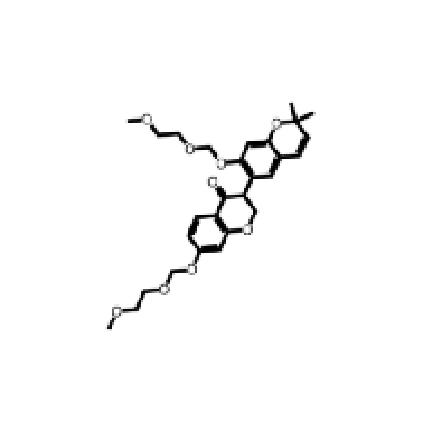 COCCOCOc1ccc2c(c1)OCC(c1cc3c(cc1OCOCCOC)OC(C)(C)C=C3)C2=O